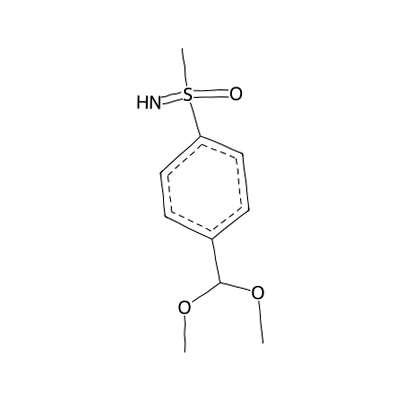 COC(OC)c1ccc(S(C)(=N)=O)cc1